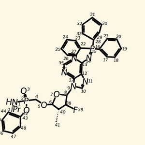 CC(C)NP(=O)(COC1OC(n2cnc3c(N=P(c4ccccc4)(c4ccccc4)c4ccccc4)ncnc32)C(F)[C@@H]1C)Oc1ccccc1